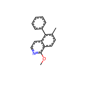 COc1nccc2c(-c3ccccc3)c(C)ccc12